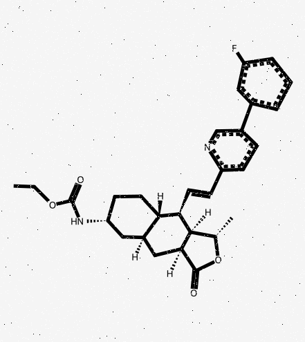 CCOC(=O)N[C@@H]1CC[C@H]2[C@H](C1)C[C@@H]1C(=O)O[C@@H](C)[C@@H]1[C@@H]2/C=C/c1ccc(-c2cccc(F)c2)cn1